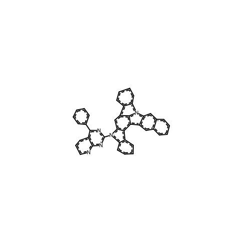 c1ccc(-c2nc(-n3c4ccccc4c4c5c6cc7ccccc7cc6n6c7ccccc7c(cc43)c56)nc3ncccc23)cc1